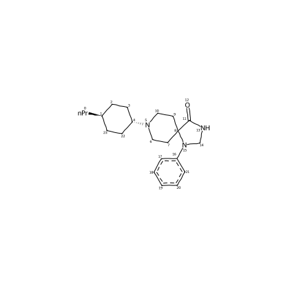 CCC[C@H]1CC[C@H](N2CCC3(CC2)C(=O)NCN3c2ccccc2)CC1